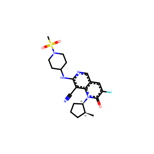 C[C@H]1CCC[C@H]1n1c(=O)c(F)cc2cnc(NC3CCN(S(C)(=O)=O)CC3)c(C#N)c21